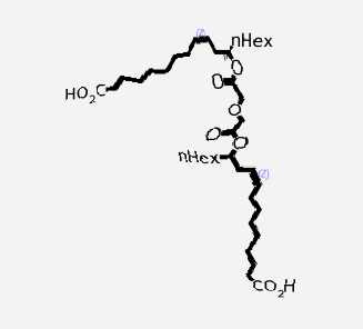 CCCCCCC(C/C=C\CCCCCCCC(=O)O)OC(=O)COCC(=O)O[C@@H](C/C=C\CCCCCCCC(=O)O)CCCCCC